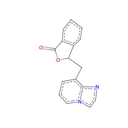 O=C1OC(Cc2cccn3ccnc23)c2ccccc21